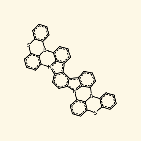 c1ccc2c(c1)Sc1cccc3c1B2c1cccc2c4c5c6cccc7c6n(c5ccc4n-3c12)-c1cccc2c1B7c1ccccc1S2